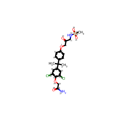 CC(C)(c1ccc(OCC(=O)CNS(C)(=O)=O)cc1)c1cc(Cl)c(OCC(N)=O)c(Cl)c1